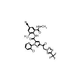 CNC(=O)c1cc(C#N)cc(C)c1NC(=O)c1cc(C(=O)Cn2nnc(C(F)(F)F)n2)nn1-c1ncccc1Cl